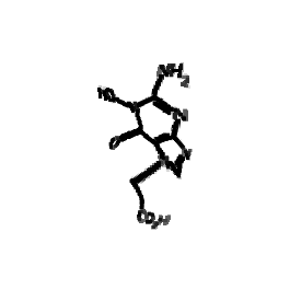 Nc1nc2ncn(CC(=O)O)c2c(=O)n1O